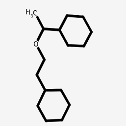 CC(OCCC1CCCCC1)C1CCCCC1